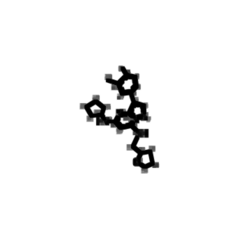 Cc1ccc(-c2cnn3c(NCC4CCCO4)cc(NC4CCCC4)nc23)cc1C